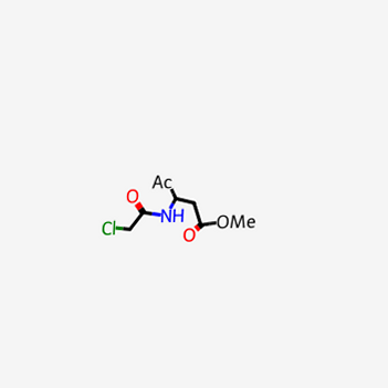 COC(=O)CC(NC(=O)CCl)C(C)=O